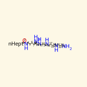 CCCCCCCC(=O)NCCCC[C@H](N)CNCCCNCCCCNCCCN